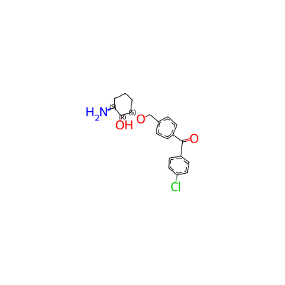 N[C@H]1CCC[C@H](OCc2ccc(C(=O)c3ccc(Cl)cc3)cc2)[C@@H]1O